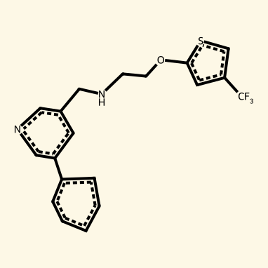 FC(F)(F)c1csc(OCCNCc2cncc(-c3ccccc3)c2)c1